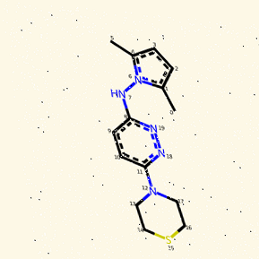 Cc1ccc(C)n1Nc1ccc(N2CCSCC2)nn1